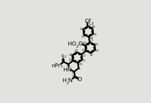 CCCC(=S)C1NC(C(N)=O)Cc2cc(-c3cccc(-c4ccc(C(F)(F)F)cc4)c3C(=O)O)ccc21